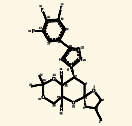 CC1CO[C@]2(C1)C[C@H](n1cc(-c3cc(F)c(F)c(F)c3)nn1)[C@H]1OC(C)(C)OC[C@H]1O2